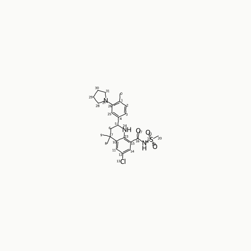 Cc1ccc(C2CC(C)(C)c3cc(Cl)cc(C(=O)NS(C)(=O)=O)c3N2)cc1N1CCCC1